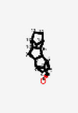 O=CC1C2CCC1C1C2CC2C3CCC(C3)C21